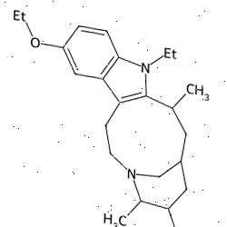 CCOc1ccc2c(c1)c1c(n2CC)C(C)CC2CC(CC)C(C)N(CC1)C2